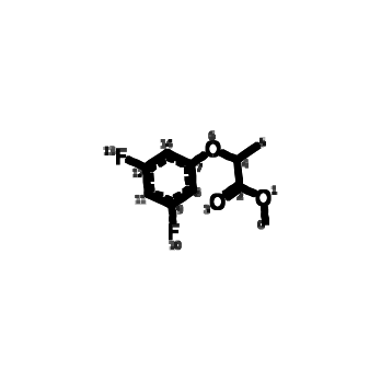 COC(=O)C(C)Oc1cc(F)cc(F)c1